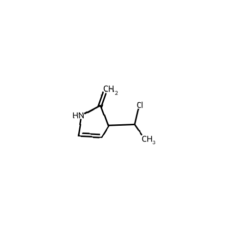 C=C1NC=CC1C(C)Cl